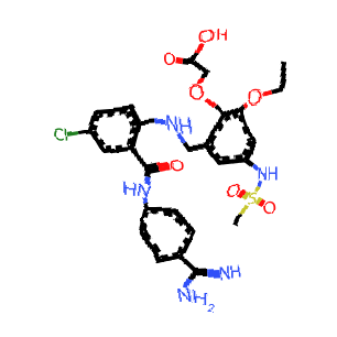 CCOc1cc(NS(C)(=O)=O)cc(CNc2ccc(Cl)cc2C(=O)Nc2ccc(C(=N)N)cc2)c1OCC(=O)O